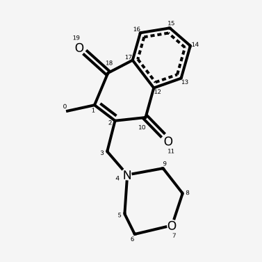 CC1=C(CN2CCOCC2)C(=O)c2ccccc2C1=O